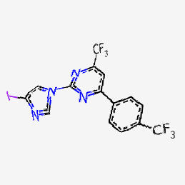 FC(F)(F)c1ccc(-c2cc(C(F)(F)F)nc(-n3cnc(I)c3)n2)cc1